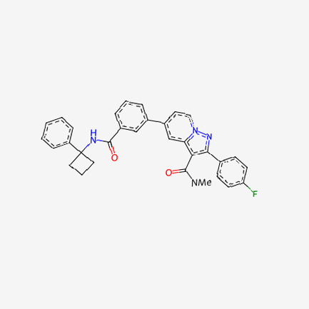 CNC(=O)c1c(-c2ccc(F)cc2)nn2ccc(-c3cccc(C(=O)NC4(c5ccccc5)CCC4)c3)cc12